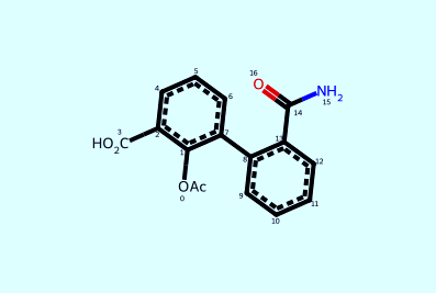 CC(=O)Oc1c(C(=O)O)cccc1-c1ccccc1C(N)=O